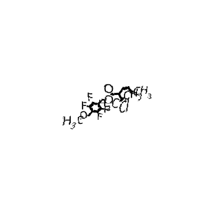 CC/C=C\C(C(=O)OCc1c(F)c(F)c(COC)c(F)c1F)C(C)(C)Cl